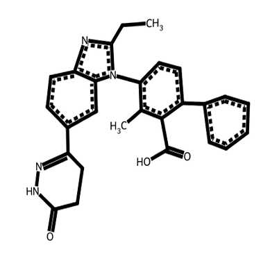 CCc1nc2ccc(C3=NNC(=O)CC3)cc2n1-c1ccc(-c2ccccc2)c(C(=O)O)c1C